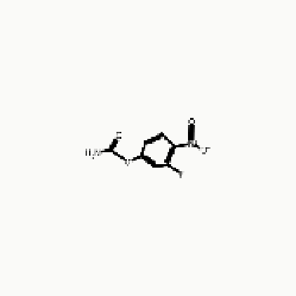 NC(=O)Oc1ccc([N+](=O)[O-])c(F)c1